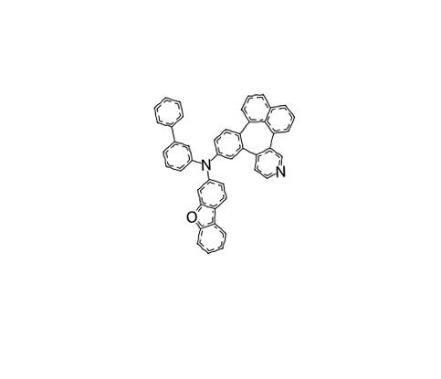 c1ccc(-c2cccc(N(c3ccc4c(c3)-c3ccncc3-c3cccc5cccc-4c35)c3ccc4c(c3)oc3ccccc34)c2)cc1